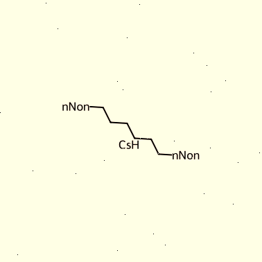 CCCCCCCCCCCCCCCCCCCCCCCC.[CsH]